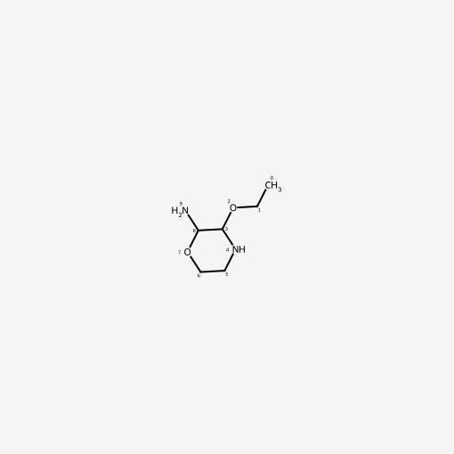 CCOC1NCCOC1N